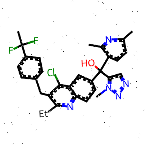 CCc1nc2ccc(C(O)(c3ccc(C)nc3C)c3cnnn3C)cc2c(Cl)c1Cc1ccc(C(C)(F)F)cc1